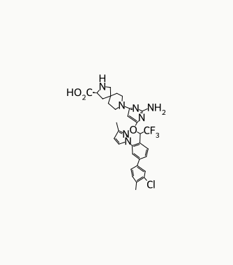 Cc1ccn(-c2cc(-c3ccc(C)c(Cl)c3)ccc2C(Oc2cc(N3CCC4(CC3)CN[C@H](C(=O)O)C4)nc(N)n2)C(F)(F)F)n1